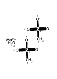 CS(=O)(=O)[O-].CS(=O)(=O)[O-].O.[Mn+2]